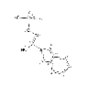 CS(=O)(=O)O/N=C(\C#N)c1nc2ccccc2s1